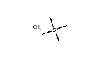 C.C[Si](C)(C)C